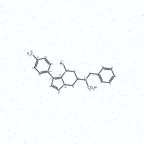 CC(=O)N1CC(N(Cc2ccccc2)C(=O)O)Cn2ncc(-c3ccc(C(F)(F)F)cc3)c21